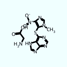 Cn1cnc([N+](=O)[O-])c1Sc1ncnc2nc[nH]c12.NCC(=O)O